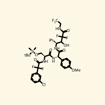 COc1ccc([C@H](NC(=O)[C@H](CO[Si](C)(C)C(C)(C)C)NC(=O)C(F)(F)c2cccc(Cl)c2)C(=O)N[C@@H](C(C)C)C(O)C(F)(F)C(=O)NCC(F)(F)F)cc1